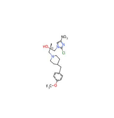 C[C@](O)(CN1CCC(Cc2ccc(OC(F)(F)F)cc2)CC1)Cn1cc([N+](=O)[O-])nc1Cl